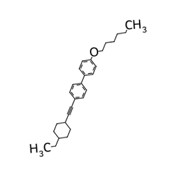 CCCCCCOc1ccc(-c2ccc(C#CC3CCC(CC)CC3)cc2)cc1